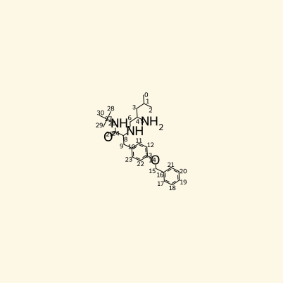 CC(C)CC(N)CNC(Cc1ccc(OCc2ccccc2)cc1)C(=O)NC(C)(C)C